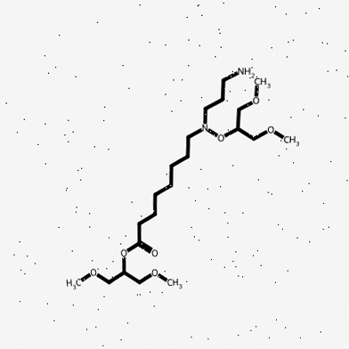 COCC(COC)OC(=O)CCCCCCCN(CCCN)OC(COC)COC